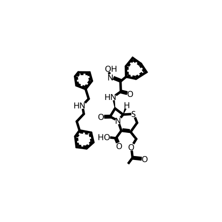 CC(=O)OCC1=C(C(=O)O)N2C(=O)[C@@H](NC(=O)C(=NO)c3ccccc3)[C@@H]2SC1.c1ccc(CCNCc2ccccc2)cc1